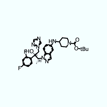 C[C@@H](n1ncc2cc(NC3CCN(C(=O)OC(C)(C)C)CC3)ccc21)[C@](O)(Cn1cncn1)c1ccc(F)cc1F